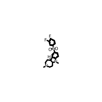 CN1CCC2[C@H](CC1)c1cc(S(=O)(=O)c3ccc(F)c(F)c3)ccc1N2C